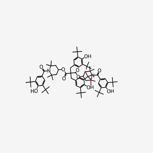 CC(C)(C)c1cc(CC(Cc2cc(C(C)(C)C)c(O)c(C(C)(C)C)c2)(C(=O)OC2CC(C)(C)N(C(=O)c3cc(C(C)(C)C)c(O)c(C(C)(C)C)c3)C(C)(C)C2)C(=O)OC2CC(C)(C)N(C(=O)c3cc(C(C)(C)C)c(O)c(C(C)(C)C)c3)C(C)(C)C2)cc(C(C)(C)C)c1O